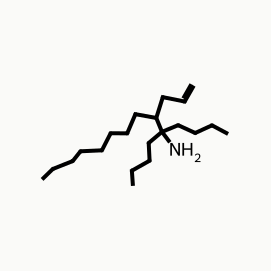 C=CCC(CCCCCCCC)C(N)(CCCC)CCCC